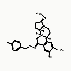 CON=C1CC[C@H]2[C@@H]3CC(=NOCc4ccc(C)cc4)c4cc(O)c(OC)cc4[C@H]3CC[C@]12C